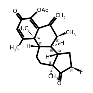 C=C1C2=C(OC(C)=O)C(=O)C=C(C)[C@]2(C)[C@H]2CC[C@]3(C)C(=O)[C@H](F)C[C@H]3[C@@H]2[C@@H]1C